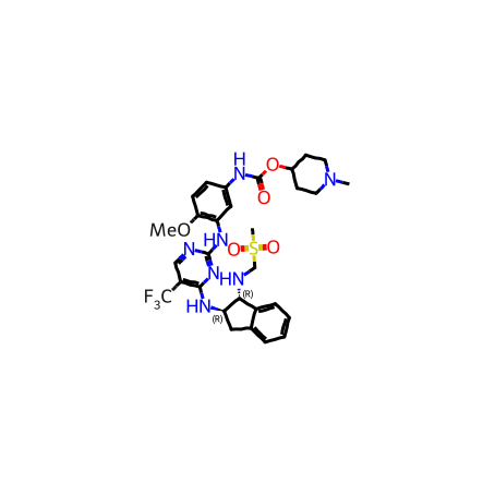 COc1ccc(NC(=O)OC2CCN(C)CC2)cc1Nc1ncc(C(F)(F)F)c(N[C@@H]2Cc3ccccc3[C@H]2NCS(C)(=O)=O)n1